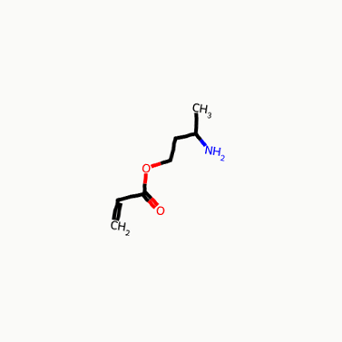 C=CC(=O)OCCC(C)N